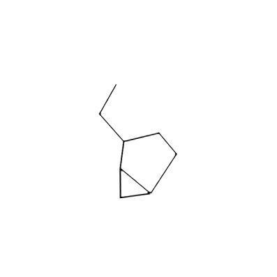 CCC1CCC2C[C]12